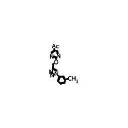 CC(=O)c1cnc(OCc2cn(-c3cccc(C)c3)nn2)nc1